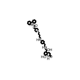 O=C(Nc1ccccc1-c1ccccc1)OC1CCN(CCCCCNc2ccc(CCNCC(O)c3ccc(O)c4[nH]c(=O)ccc34)cc2)CC1